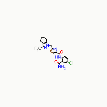 NC(=O)c1cc(Cl)ccc1NC(=O)c1csc(Cn2nc(C(F)(F)F)c3c2CCCC3)n1